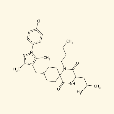 CCCCN1C(=O)C(CC(C)C)NC(=O)C12CCN(Cc1c(C)nn(-c3ccc(Cl)cc3)c1C)CC2